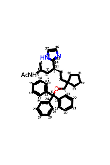 CC(=O)NC(C)[C@@H](C)[C@H](CCC1(COC(c2ccccc2)(c2ccccc2)c2ccccc2)CCCC1)c1ncc[nH]1